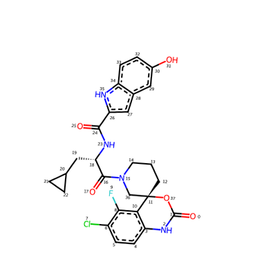 O=C1Nc2ccc(Cl)c(F)c2[C@@]2(CCCN(C(=O)[C@H](CC3CC3)NC(=O)c3cc4cc(O)ccc4[nH]3)C2)O1